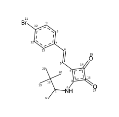 CC(Nc1c(C=Cc2ccc(Br)cc2)c(=O)c1=O)C(C)(C)C